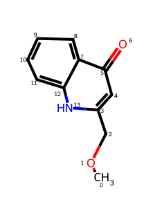 COCc1cc(=O)c2ccccc2[nH]1